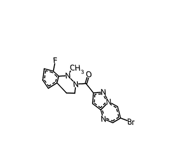 CN1c2c(F)cccc2CCN1C(=O)c1cc2ncc(Br)cn2n1